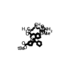 COc1ccc2c(c1)C=C(C(=O)N(C)CCN(C)CCN(C)S(N)(=O)=O)Cn1c-2c(C2CCCCC2)c2ccc(C(=O)OC(C)(C)C)cc21